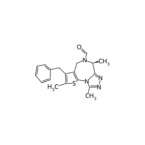 Cc1sc2c(c1Cc1ccccc1)CN(C=O)[C@@H](C)c1nnc(C)n1-2